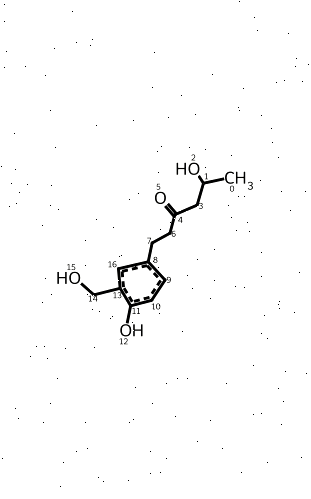 CC(O)CC(=O)CCc1ccc(O)c(CO)c1